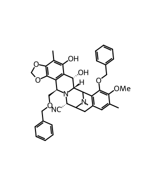 COc1c(C)cc2c(c1OCc1ccccc1)C1[C@H]3[C@@H](O)c4c(O)c(C)c5c(c4[C@H](COCc4ccccc4)N3[C@@H](C#N)C(C2)N1C)OCO5